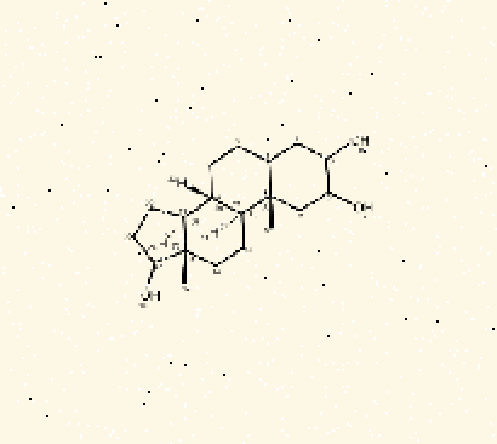 C[C@]12CC(O)C(O)CC1CC[C@@H]1[C@@H]2CC[C@]2(C)C(O)CC[C@@H]12